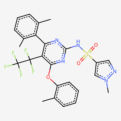 Cc1ccccc1Oc1nc(NS(=O)(=O)c2cnn(C)c2)nc(-c2c(C)cccc2C)c1C(F)(F)C(F)(F)F